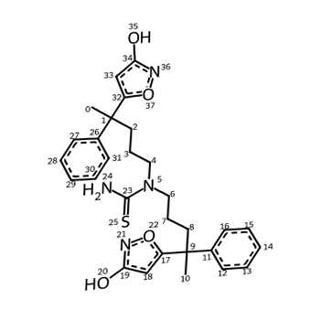 CC(CCCN(CCCC(C)(c1ccccc1)c1cc(O)no1)C(N)=S)(c1ccccc1)c1cc(O)no1